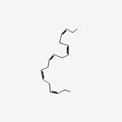 CC/C=C\C/C=C\C/C=C\C/C=C\C/C=C\CO